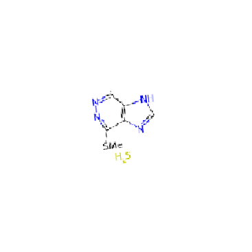 CSc1nn[c]c2[nH]cnc12.S